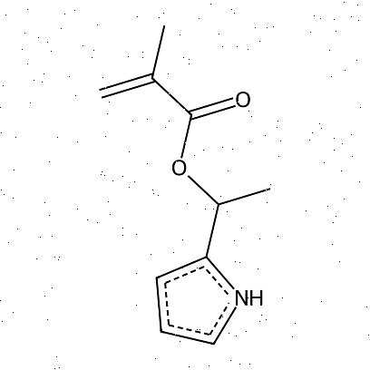 C=C(C)C(=O)OC(C)c1ccc[nH]1